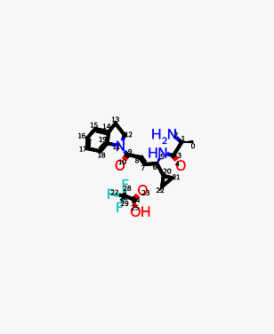 C[C@H](N)C(=O)N[C@H](/C=C/C(=O)N1CCc2ccccc21)C1CC1.O=C(O)C(F)(F)F